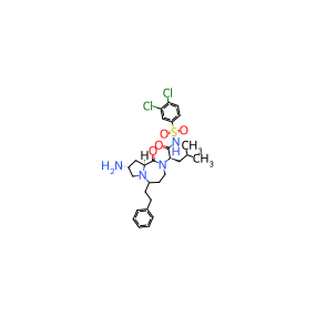 CC(C)C[C@H](C(=O)NS(=O)(=O)c1ccc(Cl)c(Cl)c1)N1CCC(CCc2ccccc2)N2C[C@H](N)C[C@H]2C1=O